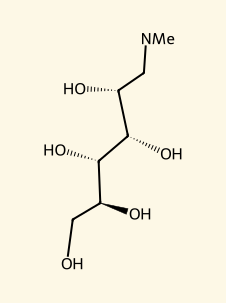 CNC[C@@H](O)[C@H](O)[C@@H](O)[C@@H](O)CO